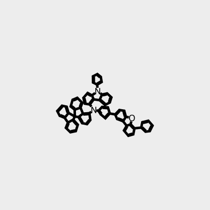 c1ccc(-c2cccc3c2oc2ccc(-c4ccc(N(c5cccc6c5-c5ccccc5C65c6ccccc6-c6ccccc65)c5cccc6c5c5ccccc5n6-c5ccccc5)cc4)cc23)cc1